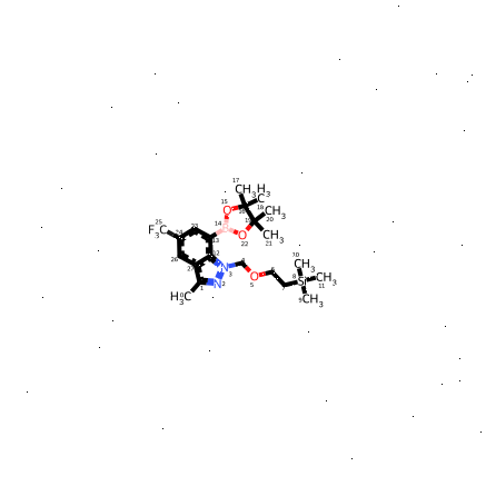 Cc1nn(COCC[Si](C)(C)C)c2c(B3OC(C)(C)C(C)(C)O3)cc(C(F)(F)F)cc12